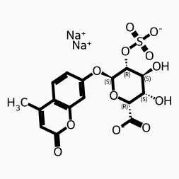 Cc1cc(=O)oc2cc(O[C@@H]3O[C@@H](C(=O)[O-])[C@@H](O)[C@H](O)[C@H]3OS(=O)(=O)[O-])ccc12.[Na+].[Na+]